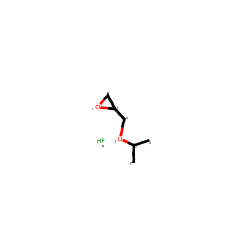 CC(C)OCC1CO1.F